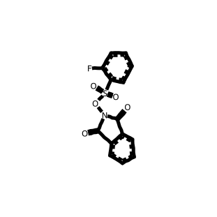 O=C1c2ccccc2C(=O)N1OS(=O)(=O)c1ccccc1F